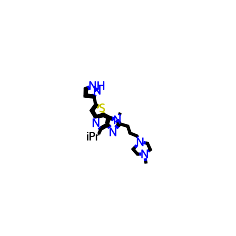 CC(C)c1nc2cc(-c3cc[nH]n3)sc2c2c1nc(CCCN1CCN(C)CC1)n2C